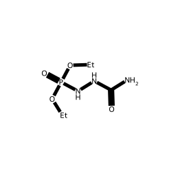 CCOP(=O)(NNC(N)=O)OCC